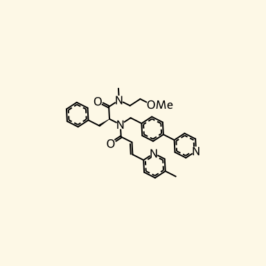 COCCN(C)C(=O)[C@H](Cc1ccccc1)N(Cc1ccc(-c2ccncc2)cc1)C(=O)/C=C/c1ccc(C)cn1